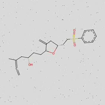 C=C=C(C)C[C@@H](O)CCC1O[C@@H](CCS(=O)(=O)c2ccccc2)CC1=C